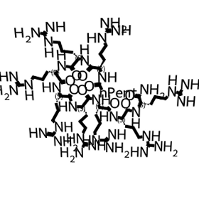 CCCCCC(=O)N[C@H](CCCNC(=N)N)C(=O)N[C@@H](CCCNC(=N)N)C(=O)N[C@@H](CCCNC(=N)N)C(=O)N[C@@H](CCCNC(=N)N)C(=O)N[C@@H](CCCNC(=N)N)C(=O)N[C@@H](CCCNC(=N)N)C(=O)N[C@@H](CCCNC(=N)N)C(=O)N[C@@H](CCCNC(=N)N)C(N)=O